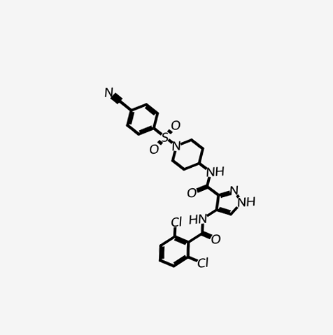 N#Cc1ccc(S(=O)(=O)N2CCC(NC(=O)c3n[nH]cc3NC(=O)c3c(Cl)cccc3Cl)CC2)cc1